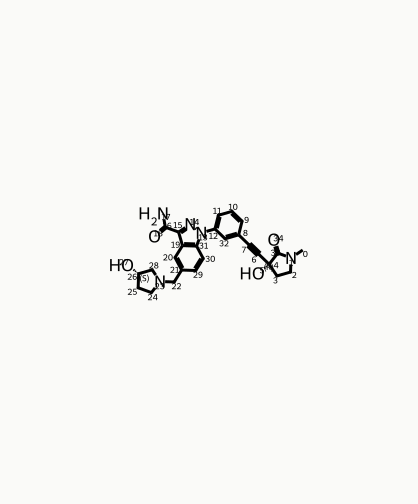 CN1CC[C@@](O)(C#Cc2cccc(-n3nc(C(N)=O)c4cc(CN5CC[C@H](O)C5)ccc43)c2)C1=O